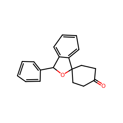 O=C1CCC2(CC1)OC(c1ccccc1)c1ccccc12